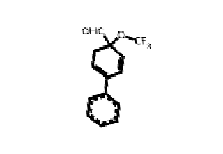 O=CC1(OC(F)(F)F)C=CC(c2ccccc2)=CC1